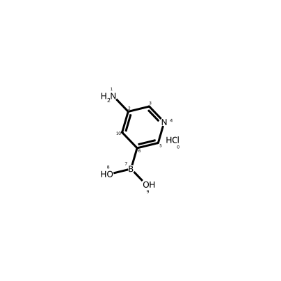 Cl.Nc1cncc(B(O)O)c1